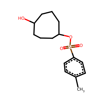 Cc1ccc(S(=O)(=O)OC2CCCC(O)CCC2)cc1